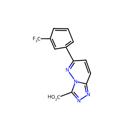 O=C(O)c1nnc2ccc(-c3cccc(C(F)(F)F)c3)nn12